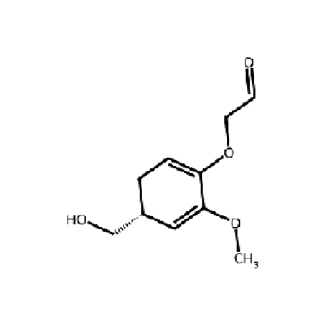 COC1=C[C@H](CO)CC=C1OCC=O